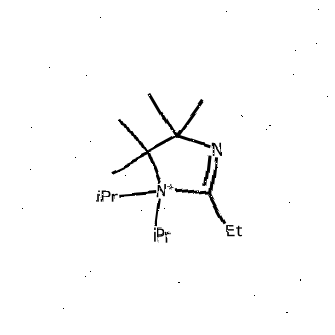 CCC1=NC(C)(C)C(C)(C)[N+]1(C(C)C)C(C)C